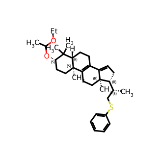 CCOC(C)O[C@H]1CC[C@]2(C)C3=C(CC[C@H]2C1(C)C)C1=CC[C@H]([C@H](C)CSc2ccccc2)[C@@]1(C)CC3